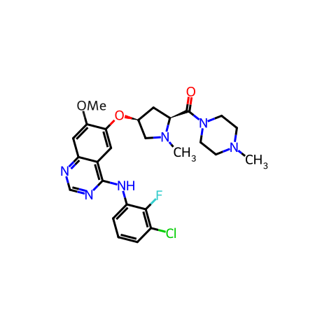 COc1cc2ncnc(Nc3cccc(Cl)c3F)c2cc1O[C@H]1C[C@@H](C(=O)N2CCN(C)CC2)N(C)C1